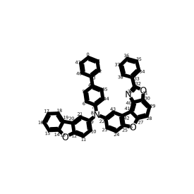 c1ccc(-c2ccc(N(c3ccc4oc5ccccc5c4c3)c3ccc4oc5ccc6oc(-c7ccccc7)nc6c5c4c3)cc2)cc1